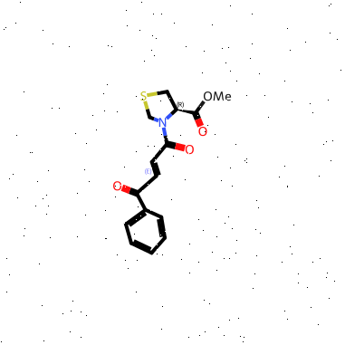 COC(=O)[C@@H]1CSCN1C(=O)/C=C/C(=O)c1ccccc1